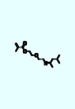 C=C(C)C(=O)OCCOCCN=C(C)CC(C)C